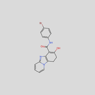 O=C(Nc1ccc(Br)cc1)C1=C(O)CCc2c1nc1ccccn21